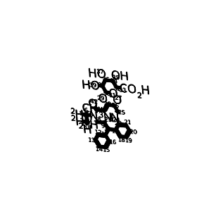 [2H]C([2H])([2H])C([2H])(C)N1CC(C(c2ccccc2)c2ccccc2)n2ncc(=O)c(OC3OC(C(=O)O)C(O)C(O)C3O)c2C1=O